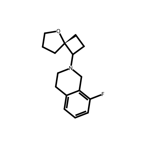 Fc1cccc2c1CN(C1CC[C@]13CCCO3)CC2